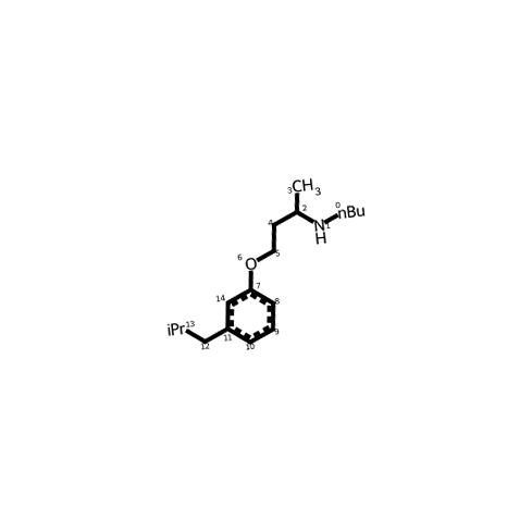 CCCCNC(C)CCOc1cccc(CC(C)C)c1